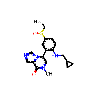 CC[S+]([O-])c1ccc(NCC2CC2)c(-c2cn(C)c(=O)c3cncn23)c1